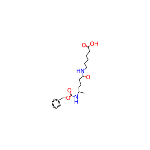 CC(CCCC(=O)NCCCCCC(=O)O)NC(=O)OCc1ccccc1